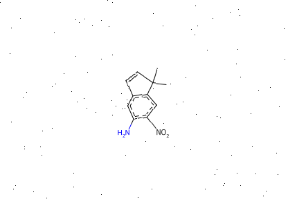 CC1(C)C=Cc2cc(N)c([N+](=O)[O-])cc21